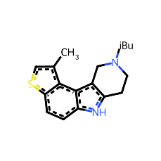 CCC(C)N1CCc2[nH]c3ccc4scc(C)c4c3c2C1